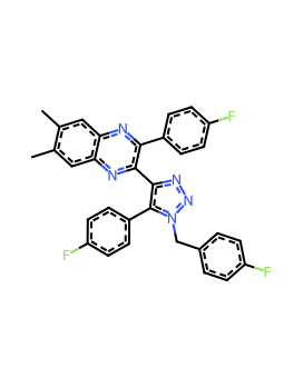 Cc1cc2nc(-c3ccc(F)cc3)c(-c3nnn(Cc4ccc(F)cc4)c3-c3ccc(F)cc3)nc2cc1C